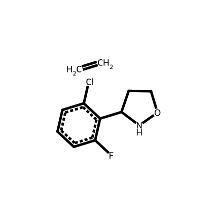 C=C.Fc1cccc(Cl)c1C1CCON1